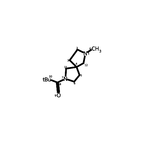 CN1CCC2(CCN(C(=O)C(C)(C)C)C2)C1